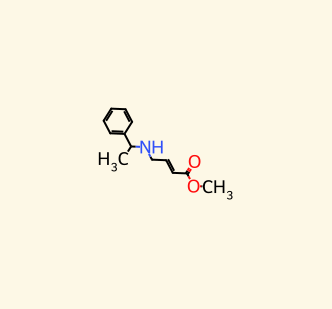 COC(=O)C=CCNC(C)c1ccccc1